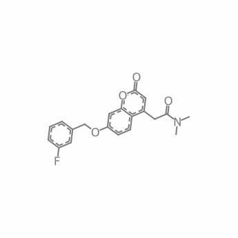 CN(C)C(=O)Cc1cc(=O)oc2cc(OCc3cccc(F)c3)ccc12